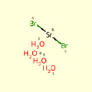 O.O.O.O.[Br][Sr][Br]